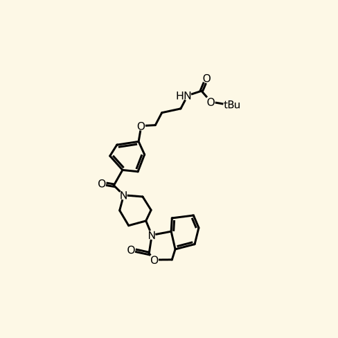 CC(C)(C)OC(=O)NCCCOc1ccc(C(=O)N2CCC(N3C(=O)OCc4ccccc43)CC2)cc1